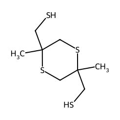 CC1(CS)CSC(C)(CS)CS1